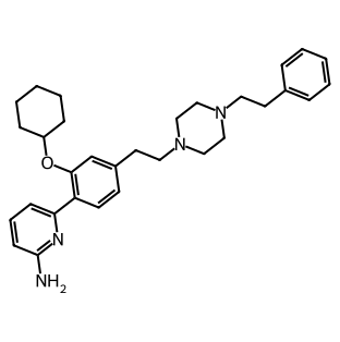 Nc1cccc(-c2ccc(CCN3CCN(CCc4ccccc4)CC3)cc2OC2CCCCC2)n1